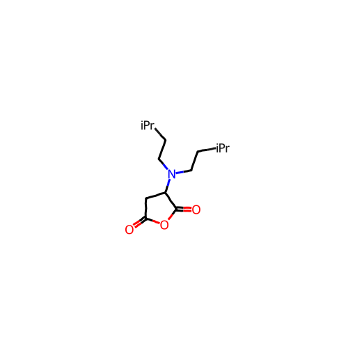 CC(C)CCN(CCC(C)C)C1CC(=O)OC1=O